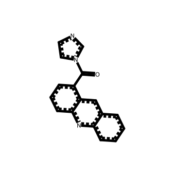 O=C(c1cccc2nc3ccccc3cc12)n1ccnc1